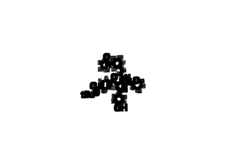 CC(C)(C)OC(=O)N1CCN(C(=O)c2cc(-c3ccc(O)cc3)nc3c2c(C=Cc2cccc(N4CCCC4=O)c2)nn3C2CCCCO2)CC1